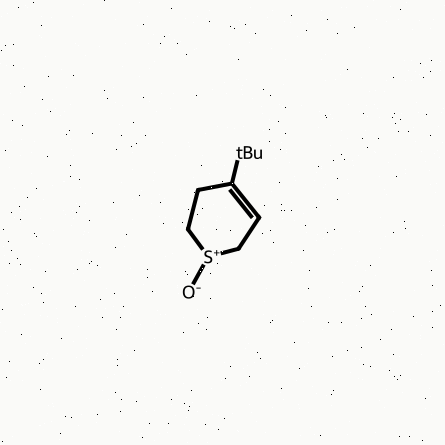 CC(C)(C)C1=CC[S+]([O-])CC1